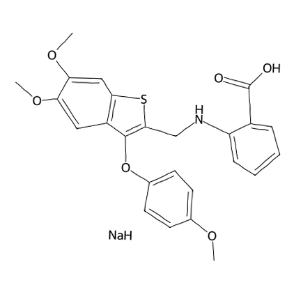 COc1ccc(Oc2c(CNc3ccccc3C(=O)O)sc3cc(OC)c(OC)cc23)cc1.[NaH]